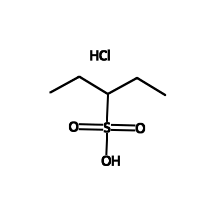 CCC(CC)S(=O)(=O)O.Cl